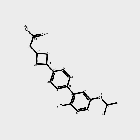 CC(C)Oc1ccc(F)c(-c2ccc(C3CC(CC(=O)O)C3)cc2)c1